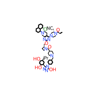 C=CC(=O)N1CCN(c2nc(OC[C@@H]3CCN3C(=O)C3CCN(Cc4ccc(-n5c(O)nnc5-c5cc(C(C)C)c(O)cc5O)cc4)CC3)nc3c2CCN(c2cccc4cccc(Cl)c24)C3)C[C@@H]1CC#N